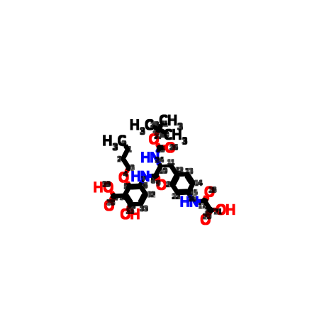 CCCCOc1c(NC(=O)[C@H](Cc2ccc(NC(=O)C(=O)O)cc2)NC(=O)OC(C)(C)C)ccc(O)c1C(=O)O